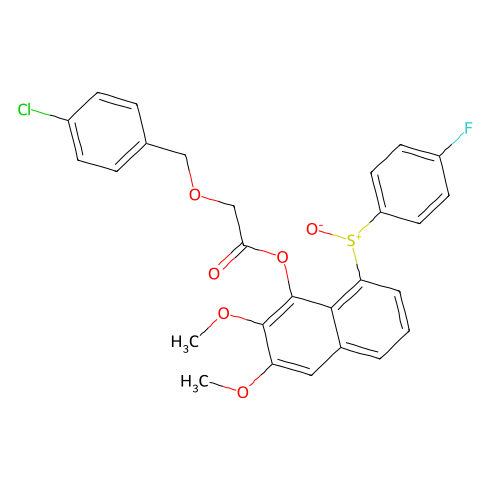 COc1cc2cccc([S+]([O-])c3ccc(F)cc3)c2c(OC(=O)COCc2ccc(Cl)cc2)c1OC